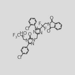 O=C1c2ccccc2C(=O)N1CC(F)(F)c1nc(Cn2nc(-c3ccc(Cl)cc3)n(C[C@H](O)C(F)(F)F)c2=O)nn1-c1ccccc1Cl